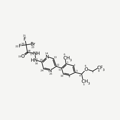 Cc1cc(C(C)OCC(F)(F)F)ccc1-c1cnc(NNC(=O)C(F)(F)Br)cn1